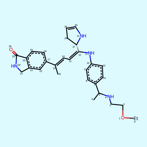 CCOCCNC(C)c1ccc(N/C(=C/C=C(\C)c2ccc3c(c2)CNC3=O)[C@@H]2CC=CN2)cc1